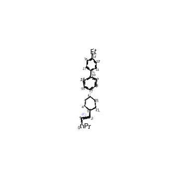 CCC/C=C/[C@H]1CC[C@H](c2ccc(-c3ccc(CC)cc3)cc2)CC1